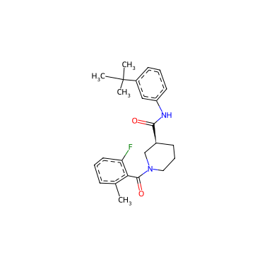 Cc1cccc(F)c1C(=O)N1CCC[C@H](C(=O)Nc2cccc(C(C)(C)C)c2)C1